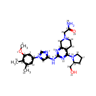 COc1cc(-n2cnc(Nc3nc4c(c(N5CCC[C@H]5CO)n3)CCN(CC(N)=O)C4)c2)cc(C)c1C